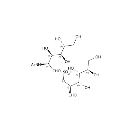 CC(=O)N[C@H](C=O)[C@@H](O)[C@H](O)[C@H](O)CO.O=C[C@@H](OS(=O)(=O)O)[C@@H](O)[C@H](O)[C@H](O)CO